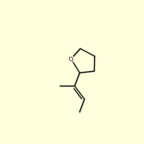 CC=C(C)C1CCCO1